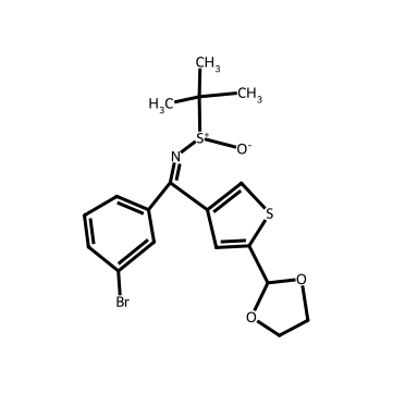 CC(C)(C)[S+]([O-])N=C(c1cccc(Br)c1)c1csc(C2OCCO2)c1